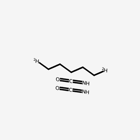 N=C=O.N=C=O.[2H]CCCCC[2H]